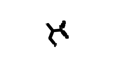 [CH2]C(CF)[SH](=O)=O